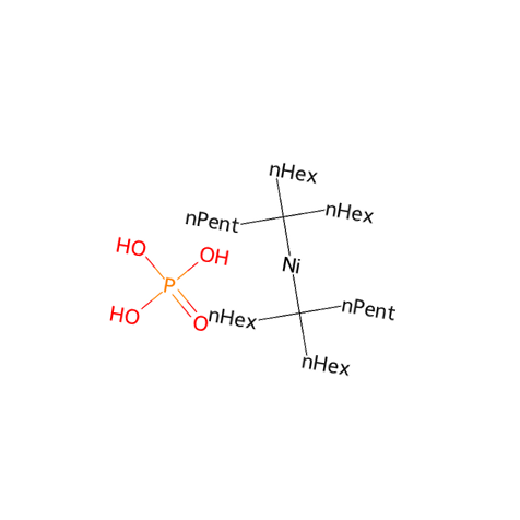 CCCCCC[C](CCCCC)(CCCCCC)[Ni][C](CCCCC)(CCCCCC)CCCCCC.O=P(O)(O)O